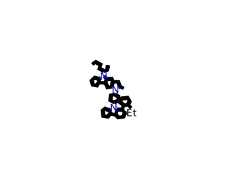 C=C/C(=C\C=C/C)n1c2ccccc2c2cc3c(cc(C)n3-c3ccc(-n4c5ccccc5c5ccc(CC)c(-c6ccccc6C)c54)cc3)cc21